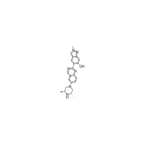 C[C@H]1CN(c2ccc3nc(-c4cc5cn(C)nc5cc4O)ncc3c2)C[C@H](C)N1